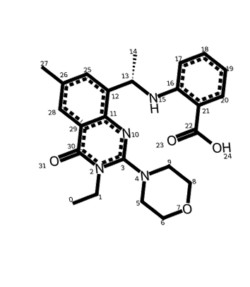 CCn1c(N2CCOCC2)nc2c([C@H](C)Nc3ccccc3C(=O)O)cc(C)cc2c1=O